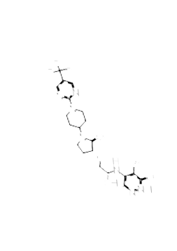 C[C@@H](CO[C@@H]1CCN(C2CCN(c3ncc(C(F)(F)F)cn3)CC2)C1=O)Nc1cn[nH]c(=O)c1Br